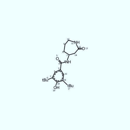 CC(C)(C)c1cc(C(=O)NC2CCCNC(=O)C2)cc(C(C)(C)C)c1O